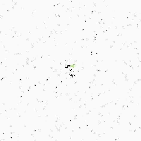 [Li][F].[Pr].[Y]